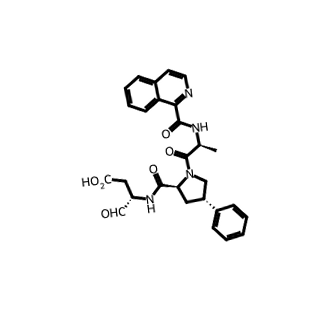 C[C@H](NC(=O)c1nccc2ccccc12)C(=O)N1C[C@H](c2ccccc2)C[C@H]1C(=O)N[C@H](C=O)CC(=O)O